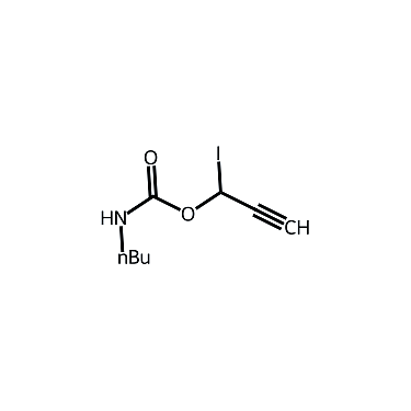 C#CC(I)OC(=O)NCCCC